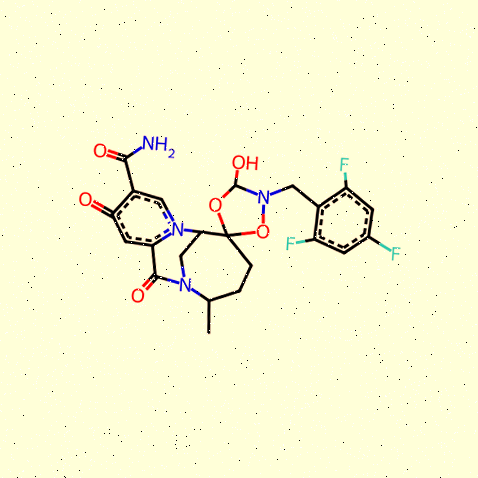 CC1CCC2(OC(O)N(Cc3c(F)cc(F)cc3F)O2)C2CN1C(=O)c1cc(=O)c(C(N)=O)cn12